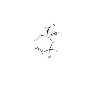 CN=S1(=O)CCC=CC(C)(C)C1